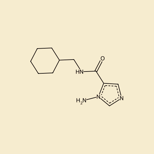 Nn1cncc1C(=O)NCC1CCCCC1